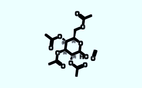 C=O.CC(=O)OC[C@H]1OC(O)[C@H](OC(C)=O)[C@@H](OC(C)=O)[C@@H]1OC(C)=O